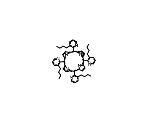 CCCCc1cccnc1-c1c2nc(c(-c3ncccc3CCCC)c3ccc([nH]3)c(-c3ncccc3CCCC)c3nc(c(-c4ncccc4CCCC)c4ccc1[nH]4)C=C3)C=C2